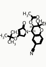 CC(=O)O[C@@H]1[C@@H](N2CC(OC(C)(C)C)=CC2=O)c2cc(C#N)ccc2OC1(C)C